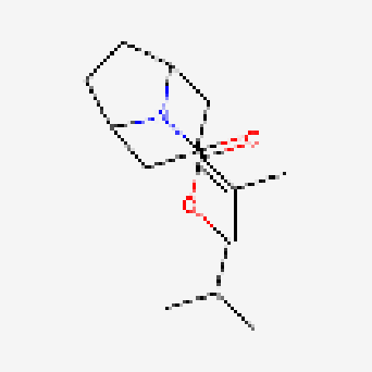 CC(C)=C1CC2CCC(C1)N2C(=O)OCC(C)C